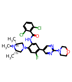 C[C@@H]1CN(c2cc(F)c(-c3cnc(N4CCOCC4)nc3)cc2NC(=O)c2c(Cl)cccc2Cl)C[C@H](C)N1C